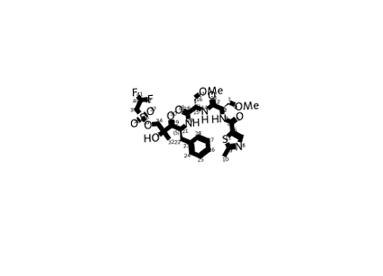 COC[C@H](NC(=O)c1cnc(C)s1)C(=O)N[C@@H](COC)C(=O)N[C@@H](Cc1ccccc1)C(=O)C(C)(O)COS(=O)(=O)CC(F)F